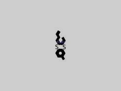 C=CC/C=C1/Sc2ccc(C)cc2S/C1=C/C